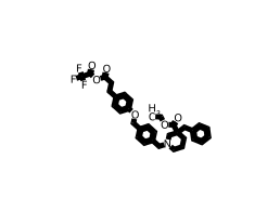 CCOC(=O)C1(Cc2ccccc2)CCCN(Cc2ccc(COc3ccc(CCC(=O)OC(=O)C(F)(F)F)cc3)cc2)C1